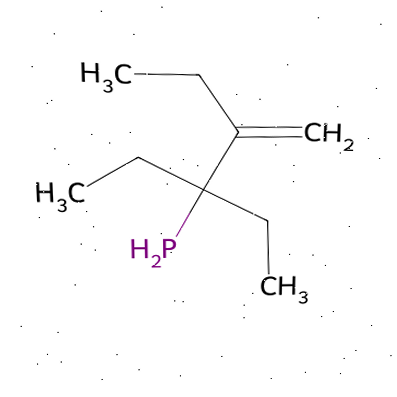 C=C(CC)C(P)(CC)CC